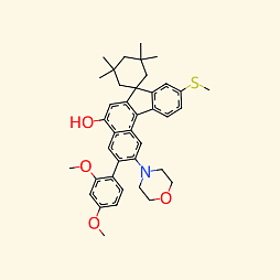 COc1ccc(-c2cc3c(O)cc4c(c3cc2N2CCOCC2)-c2ccc(SC)cc2C42CC(C)(C)CC(C)(C)C2)c(OC)c1